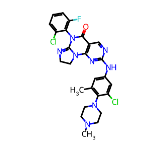 Cc1cc(Nc2ncc3c(n2)N2CCN=C2N(c2c(F)cccc2Cl)C3=O)cc(Cl)c1N1CCN(C)CC1